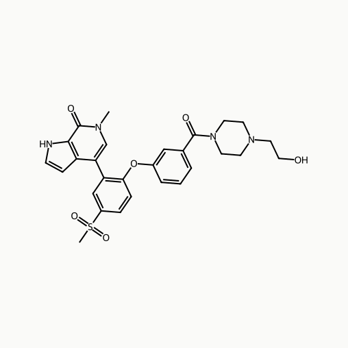 Cn1cc(-c2cc(S(C)(=O)=O)ccc2Oc2cccc(C(=O)N3CCN(CCO)CC3)c2)c2cc[nH]c2c1=O